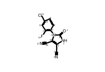 N#Cc1[nH]c(=O)n(-c2ccc(Cl)cc2F)c1C#N